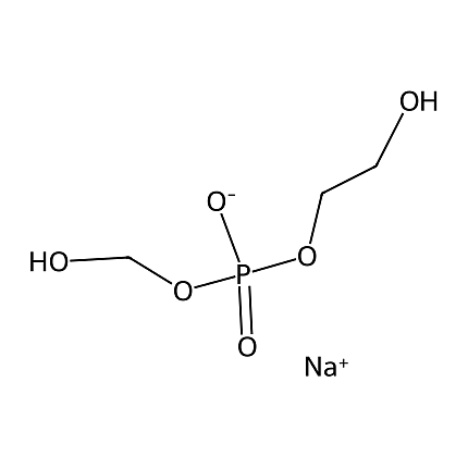 O=P([O-])(OCO)OCCO.[Na+]